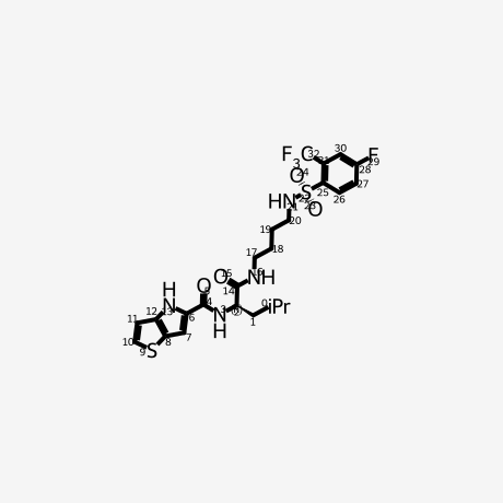 CC(C)C[C@@H](NC(=O)c1cc2sccc2[nH]1)C(=O)NCCCCNS(=O)(=O)c1ccc(F)cc1C(F)(F)F